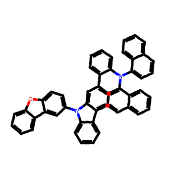 c1ccc(N(c2cccc3ccccc23)c2cccc3ccccc23)c(-c2ccc3c4ccccc4n(-c4ccc5oc6ccccc6c5c4)c3c2)c1